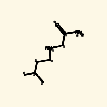 CC(C)CCNCC(N)=O